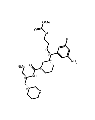 CNC[C@H](C[C@H]1CCCOC1)NC(=O)N1CCC[C@@H]([C@@H](OCCNC(=O)OC)c2cc(N)cc(F)c2)C1